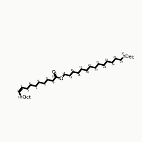 CCCCCCCC/C=C\CCCCCCCC(=O)OCCCCCCCCCCCCCCCCCCCCCCCC